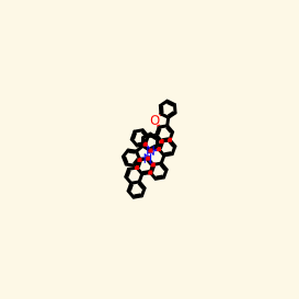 c1ccc(N(c2ccc3c(ccc4ccccc43)c2)c2ccccc2-c2cccc3c2oc2ccccc23)c(-c2ccccc2-n2c3ccccc3c3ccccc32)c1